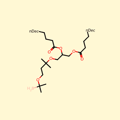 BC(C)(C)OCCC(C)(C)OCC(COC(=O)CCCCCCCCCCCCC)OC(=O)CCCCCCCCCCCCC